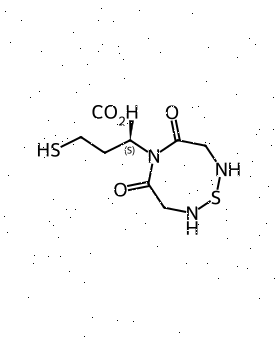 O=C(O)[C@H](CCS)N1C(=O)CNSNCC1=O